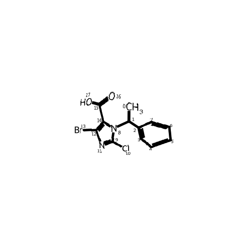 CC(c1ccccc1)n1c(Cl)nc(Br)c1C(=O)O